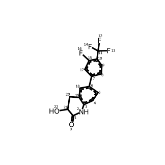 O=C1Nc2ccc(-c3ccc(C(F)(F)F)c(F)c3)cc2CC1O